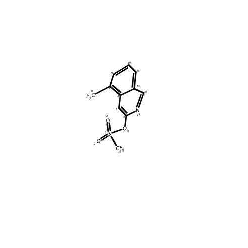 O=S(=O)(Oc1cc2c(C(F)(F)F)cccc2cn1)C(F)(F)F